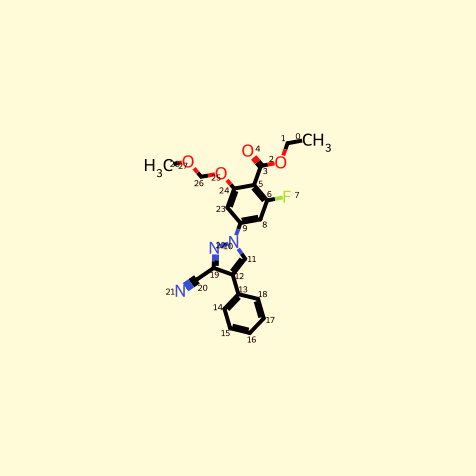 CCOC(=O)c1c(F)cc(-n2cc(-c3ccccc3)c(C#N)n2)cc1OCOC